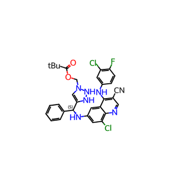 CC(C)(C)C(=O)OCN1C=C([C@@H](Nc2cc(Cl)c3ncc(C#N)c(Nc4ccc(F)c(Cl)c4)c3c2)c2ccccc2)NN1